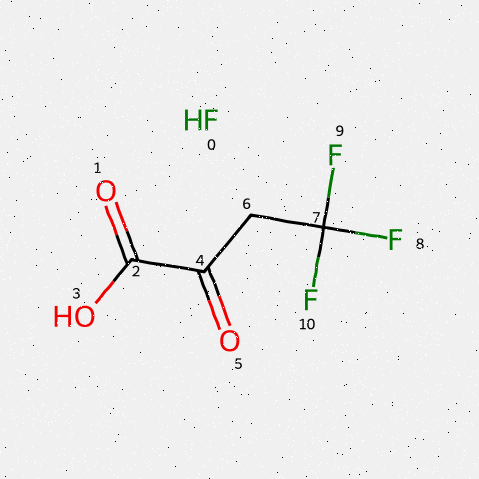 F.O=C(O)C(=O)CC(F)(F)F